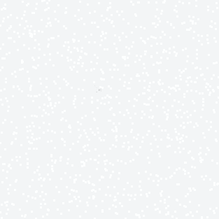 Cc1cccc(C)c1C(C(C)c1ccccc1)C(C)(C)[Si](c1ccccc1)c1ccccc1